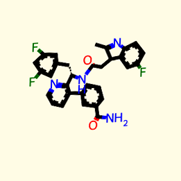 CC1=Nc2ccc(F)cc2C1CC(=O)N[C@@H](Cc1cc(F)cc(F)c1)c1ncccc1-c1cccc(C(N)=O)c1